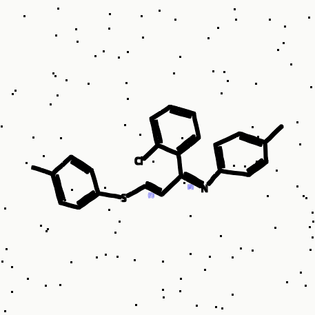 Cc1ccc(/N=C(/C=C/Sc2ccc(C)cc2)c2ccccc2Cl)cc1